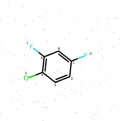 Fc1c[c]c(Cl)c(F)c1